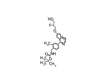 Cc1cc(-c2ncnn3cc(OCC(F)CO)cc23)ccc1CNC(=O)OC(C)(C)C